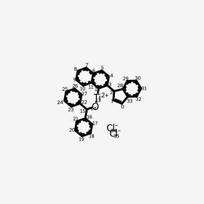 C1=CC(c2ccc3ccccc3[c]2[Ti+2][O]C(c2ccccc2)c2ccccc2)c2ccccc21.[Cl-].[Cl-]